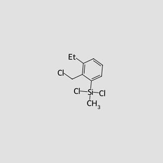 CCc1cccc([Si](C)(Cl)Cl)c1CCl